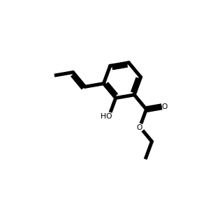 CC=Cc1cccc(C(=O)OCC)c1O